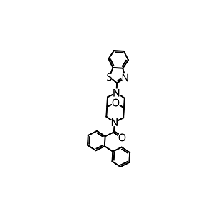 O=C(c1ccccc1-c1ccccc1)N1CC2CN(c3nc4ccccc4s3)CC(C1)O2